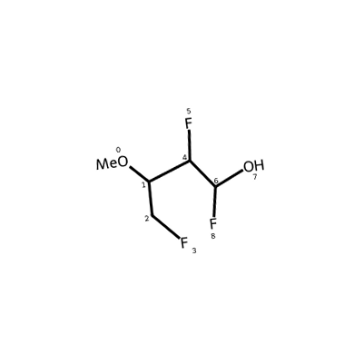 COC(CF)C(F)C(O)F